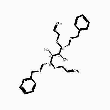 C=CCO[C@H](COCc1ccccc1)[C@@H](O)[C@H](O)[C@@H](COCc1ccccc1)OCC=C